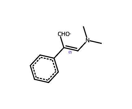 CN(C)/C=C(\[C]=O)c1ccccc1